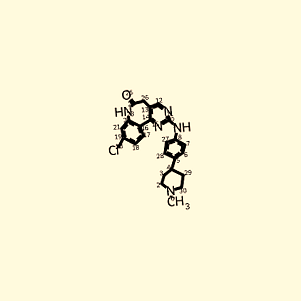 CN1CCC(c2ccc(Nc3ncc4c(n3)-c3ccc(Cl)cc3NC(=O)C4)cc2)CC1